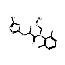 CCCCOCN(C(=O)C(Cl)Oc1nnc(C(F)(F)F)s1)c1c(C)cccc1C